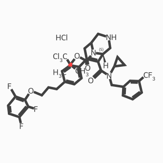 CC(C)(OC(=O)N1C2CNC[C@@H]1C(C(=O)N(Cc1cccc(C(F)(F)F)c1)C1CC1)=C(c1ccc(CCCOc3c(F)ccc(F)c3F)cc1)C2)C(Cl)(Cl)Cl.Cl